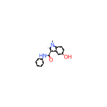 Cn1[c]c(C(=O)Nc2ccccc2)c2cc(O)ccc21